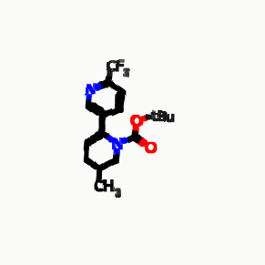 CC1CC=C(c2ccc(C(F)(F)F)nc2)N(C(=O)OC(C)(C)C)C1